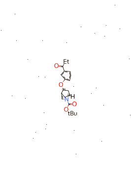 CCC(=O)c1cccc(O[C@@H]2C[C@@H]3CC2=CN3C(=O)OC(C)(C)C)c1